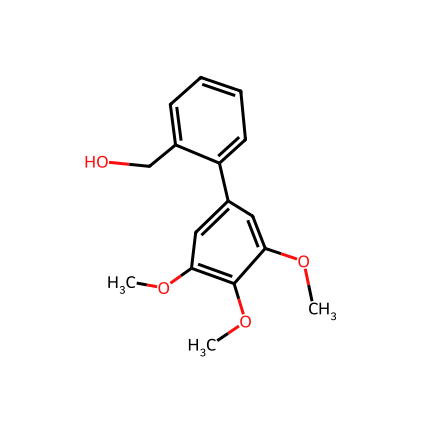 COc1cc(-c2ccccc2CO)cc(OC)c1OC